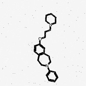 c1ccc(N2CCc3ccc(OCCCN4CCCCC4)cc3CC2)cc1